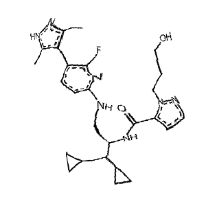 Cc1n[nH]c(C)c1-c1ccc(NC[C@@H](NC(=O)c2ccnn2CCCO)C(C2CC2)C2CC2)nc1F